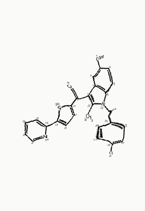 COc1ccc2c(c1)c(C(=O)c1ccc(-c3ccccn3)s1)c(C)n2Cc1ccc(Cl)cc1